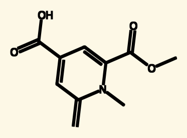 C=C1C=C(C(=O)O)C=C(C(=O)OC)N1C